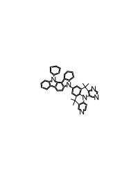 CC1(C)c2cnccc2N2c3cncnc3C(C)(C)c3cc(-n4c5ccccc5c5c4ccc4c6ccccc6n(-c6ccccc6)c45)cc1c32